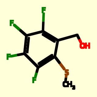 CSc1c(F)c(F)c(F)c(F)c1CO